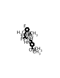 COc1ccc(F)cc1C(C)(C)CC(O)(CNc1cc2ccc(C(=O)N(C)C)cc2[nH]1)C(F)(F)F